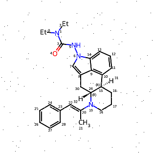 CCN(CC)C(=O)Nn1cc2c3c(cccc31)[C@H]1CCCN(C(C)=Cc3ccccc3)[C@@H]1C2